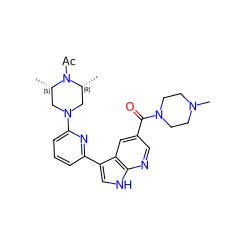 CC(=O)N1[C@H](C)CN(c2cccc(-c3c[nH]c4ncc(C(=O)N5CCN(C)CC5)cc34)n2)C[C@@H]1C